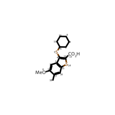 COc1cc2c(SC3CCCCC3)c(C(=O)O)sc2cc1C